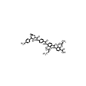 C=CCOc1c(C(=O)O)ccc(NC(=O)c2ccc(NC(=O)c3ccc(NC(=O)[C@H](CC#N)NC(=O)c4ccc(N)cc4)cc3)c(OC)c2OCC=C)c1OC